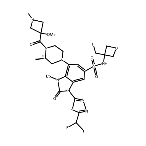 CCn1c(=O)n(-c2nnc(C(F)F)s2)c2cc(S(=O)(=O)NC3(CF)COC3)cc(N3CCN(C(=O)C4(OC)CN(C)C4)[C@H](C)C3)c21